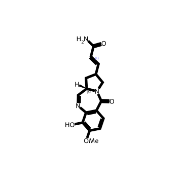 COc1ccc2c(c1O)N=C[C@@H]1CC(/C=C/C(N)=O)CN1C2=O